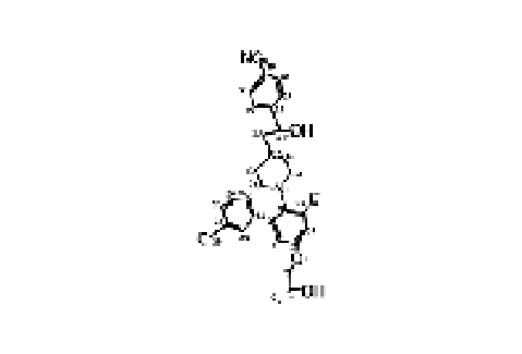 C[C@@H](O)COc1ccc(N2CCN(C[C@H](O)c3ccc(C#N)cc3)C[C@H]2c2ccc(Cl)cc2)c(Cl)c1